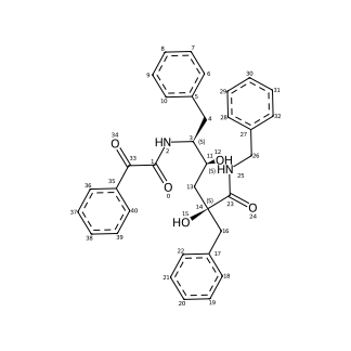 O=C(N[C@@H](Cc1ccccc1)[C@@H](O)C[C@@](O)(Cc1ccccc1)C(=O)NCc1ccccc1)C(=O)c1ccccc1